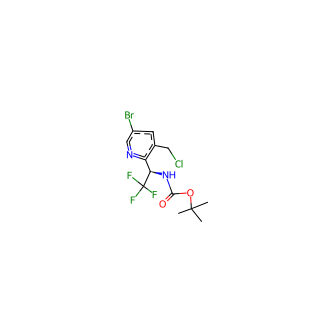 CC(C)(C)OC(=O)N[C@H](c1ncc(Br)cc1CCl)C(F)(F)F